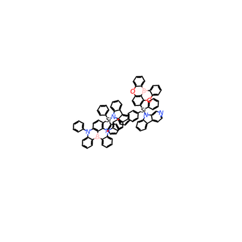 c1ccc(N2c3ccccc3B3c4ccccc4N(c4ccc(-c5ccc([Si](c6ccccc6)(c6ccc7c8c6Oc6ccccc6B8c6ccccc6O7)n6c7ccccc7c7ccncc76)cc5)cc4)c4c([Si](c5ccccc5)(c5ccccc5)n5c6ccccc6c6ccccc65)ccc2c43)cc1